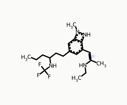 CCCC(CCc1cc(/C=C(/C)NCC)c2[nH]n(C)c2c1)NC(F)(F)F